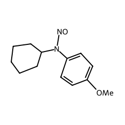 COc1ccc(N(N=O)C2CCCCC2)cc1